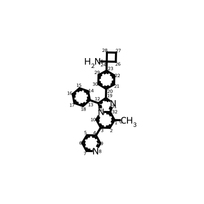 Cc1cc(-c2cccnc2)cn2c(-c3ccccc3)c(-c3ccc(C4(N)CCC4)cc3)nc12